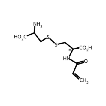 C=CC(=O)N[C@@H](CSSCC(N)C(=O)O)C(=O)O